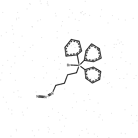 [N-]=[N+]=NCCCCP(Br)(c1ccccc1)(c1ccccc1)c1ccccc1